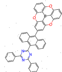 c1ccc(-c2nc(-c3ccccc3)nc(-c3c4ccccc4c(-c4cc5c6c(c4)Oc4cccc7c4B6c4c(cccc4O5)O7)c4ccccc34)n2)cc1